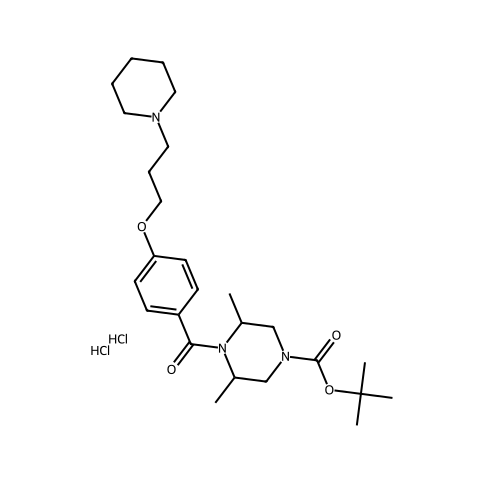 CC1CN(C(=O)OC(C)(C)C)CC(C)N1C(=O)c1ccc(OCCCN2CCCCC2)cc1.Cl.Cl